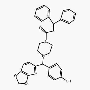 O=C(CC(c1ccccc1)c1ccccc1)N1CCN(C(c2ccc(O)cc2)c2ccc3c(c2)OCO3)CC1